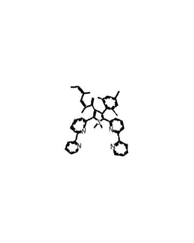 C=C(C1=C(c2cccc(-c3ccccn3)n2)S(C)(C)C(c2cccc(-c3ccccn3)n2)=C1c1c(C)cc(C)cc1C)/C(C)=C\C(C)=C/C